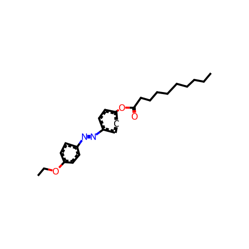 CCCCCCCCCC(=O)Oc1ccc(/N=N/c2ccc(OCC)cc2)cc1